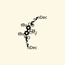 CCCCCCCCCCCCSCCC(=O)Oc1cc(C)c(-c2cc(C(C)(C)C)c(OC(=O)CCSCCCCCCCCCCCC)cc2C)cc1C(C)(C)C